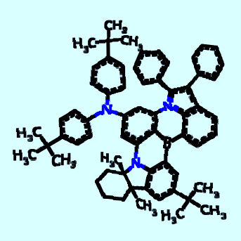 CC(C)(C)c1ccc(N(c2ccc(C(C)(C)C)cc2)c2cc3c4c(c2)-n2c(-c5ccccc5)c(-c5ccccc5)c5cccc(c52)B4c2cc(C(C)(C)C)cc4c2N3[C@@]2(C)CCCCC42C)cc1